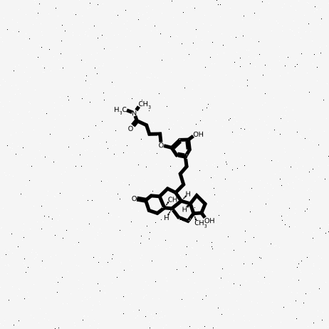 CN(C)C(=O)CCCOc1cc(O)cc(CCCC2CC3CC(=O)CC[C@]3(C)[C@@H]3CC[C@]4(C)C(O)CC[C@H]4[C@H]23)c1